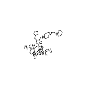 CC(C)C1=CC2CC3(C=O)[C@@H]4CC[C@@H](C)[C@H]4CC2(C2CC(CC4CCCC4)C(CN4CCN(CCN5CCCCC5)CC4)O2)[C@]13C(=O)O